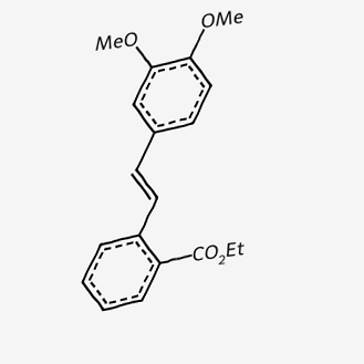 CCOC(=O)c1ccccc1C=Cc1ccc(OC)c(OC)c1